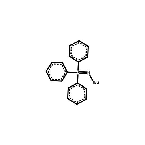 CC(C)(C)N=P(c1ccccc1)(c1ccccc1)c1ccccc1